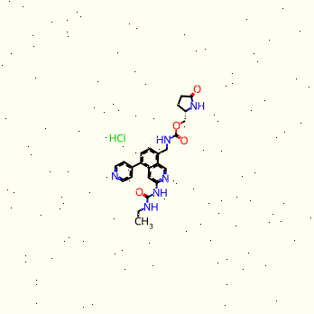 CCNC(=O)Nc1cc2c(-c3ccncc3)ccc(CNC(=O)OC[C@@H]3CCC(=O)N3)c2cn1.Cl